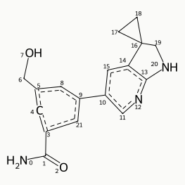 NC(=O)c1cc(CO)cc(-c2cnc3c(c2)C2(CC2)CN3)c1